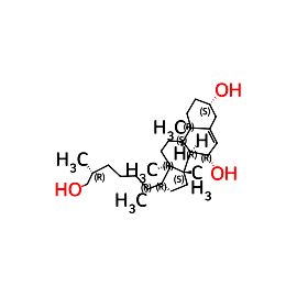 C[C@@H](CO)CCC[C@@H](C)[C@H]1CC[C@@]2(C)[C@@H]3[C@@H](O)C=C4C[C@@H](O)CC[C@]4(C)[C@H]3CC[C@]12C